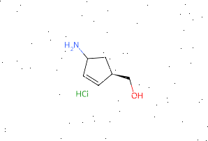 Cl.NC1C=C[C@H](CO)C1